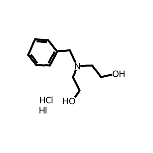 Cl.I.OCCN(CCO)Cc1ccccc1